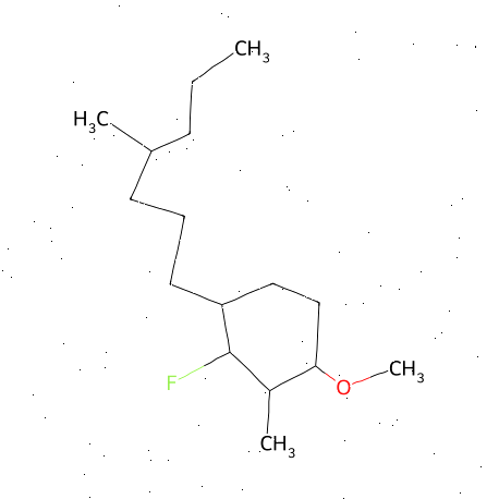 CCCC(C)CCCC1CCC(OC)C(C)C1F